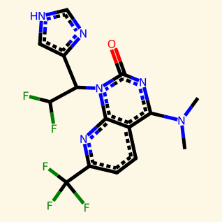 CN(C)c1nc(=O)n(C(c2c[nH]cn2)C(F)F)c2nc(C(F)(F)F)ccc12